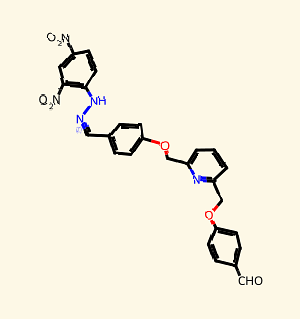 O=Cc1ccc(OCc2cccc(COc3ccc(/C=N\Nc4ccc([N+](=O)[O-])cc4[N+](=O)[O-])cc3)n2)cc1